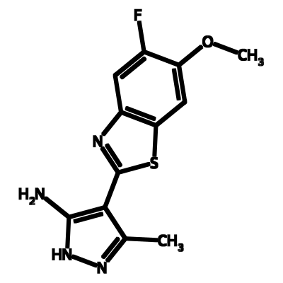 COc1cc2sc(-c3c(C)n[nH]c3N)nc2cc1F